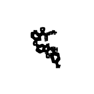 CCCNC(=O)c1cc(Oc2ccc3c(c2)nc(Nc2ccc(Br)cc2)n3C)ccn1